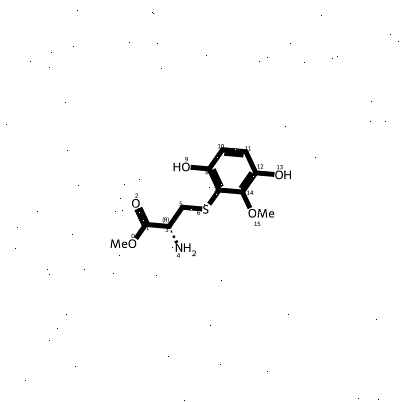 COC(=O)[C@@H](N)CSc1c(O)ccc(O)c1OC